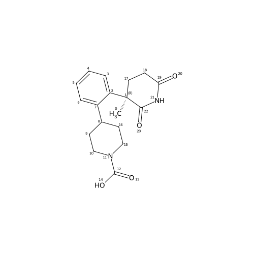 C[C@]1(c2ccccc2C2CCN(C(=O)O)CC2)CCC(=O)NC1=O